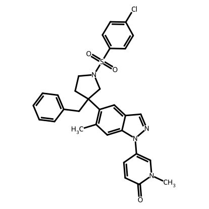 Cc1cc2c(cnn2-c2ccc(=O)n(C)c2)cc1C1(Cc2ccccc2)CCN(S(=O)(=O)c2ccc(Cl)cc2)C1